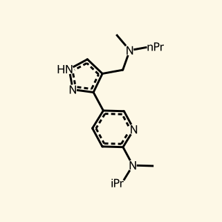 CCCN(C)Cc1c[nH]nc1-c1ccc(N(C)C(C)C)nc1